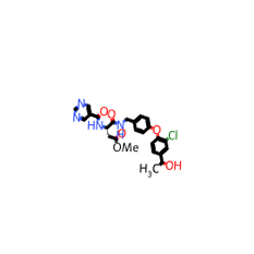 COC(=O)C[C@H](NC(=O)c1cncnc1)C(=O)NCc1ccc(Oc2ccc(C(C)O)cc2Cl)cc1